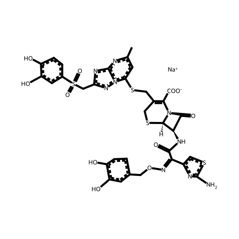 Cc1cc(SCC2=C(C(=O)[O-])N3C(=O)[C@@H](NC(=O)/C(=N\OCc4ccc(O)c(O)c4)c4csc(N)n4)[C@H]3SC2)n2nc(CS(=O)(=O)c3ccc(O)c(O)c3)nc2n1.[Na+]